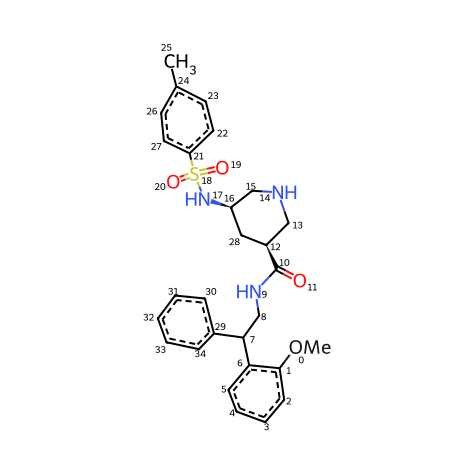 COc1ccccc1C(CNC(=O)[C@@H]1CNC[C@H](NS(=O)(=O)c2ccc(C)cc2)C1)c1ccccc1